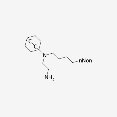 CCCCCCCCCCCCCN(CCN)C12CCC(CC1)CC2